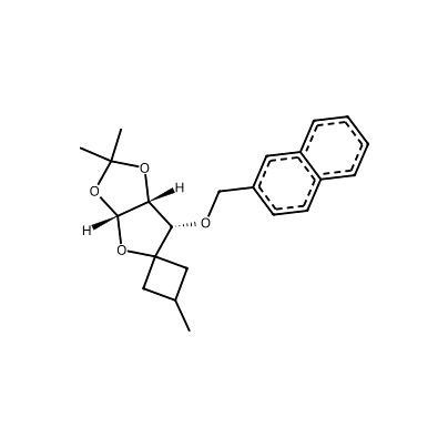 CC1CC2(C1)O[C@@H]1OC(C)(C)O[C@@H]1[C@@H]2OCc1ccc2ccccc2c1